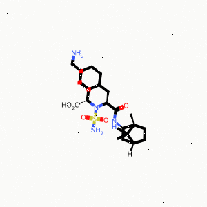 CC1(C)[C@@H]2CC[C@@]1(C)[C@H](NC(=O)[C@H](CC1CCCCC1)N([C@@H](CCCCN)C(=O)O)S(N)(=O)=O)C2